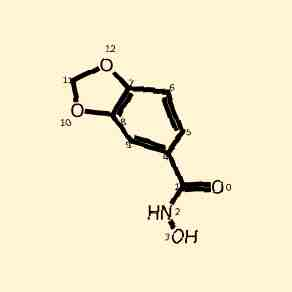 O=C(NO)c1ccc2c(c1)OCO2